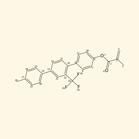 C=C(C)C(=O)Oc1ccc(-c2ccc(-c3ccc(C)cc3)cc2C(F)(F)F)cc1